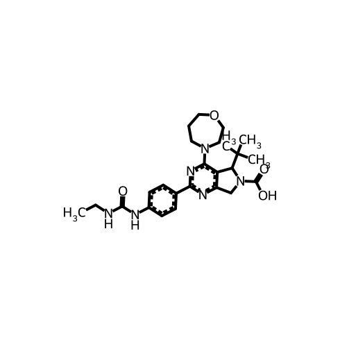 CCNC(=O)Nc1ccc(-c2nc3c(c(N4CCCOCC4)n2)C(C(C)(C)C)N(C(=O)O)C3)cc1